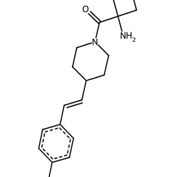 Cc1ccc(/C=C/C2CCN(C(=O)C3(N)CCC3)CC2)cc1